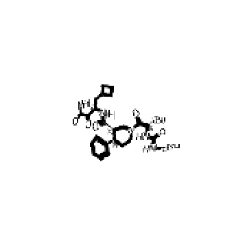 CC(C)(C)NC(=O)N[C@H](C(=O)N1CC[C@@H](c2ccccc2)[C@H](C(=O)NC(CC2CCC2)C(=O)C(N)=O)C1)C(C)(C)C